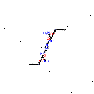 CCCCCCCC/C=C\CCCCCC(CC(=O)NCCCN1CCN(CCCNC(=O)CC(CCCCC/C=C\CCCCCCCC)CC(O)CN)CC1)CC(O)CN